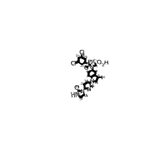 O=C(O)CN(c1ccc2c(c1)c(I)cn2-c1ccc(N2CCNC2=O)nn1)S(=O)(=O)C1C=C(Cl)C=C(Cl)C1